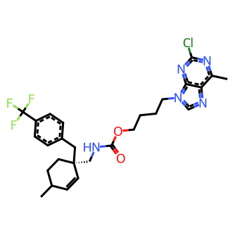 Cc1nc(Cl)nc2c1ncn2CCCCOC(=O)NC[C@]1(Cc2ccc(C(F)(F)F)cc2)C=CC(C)CC1